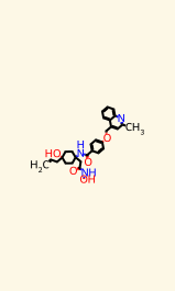 C=CCC1(O)CCC(CC(=O)NO)(NC(=O)c2ccc(OCc3cc(C)nc4ccccc34)cc2)CC1